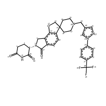 O=C1CC[C@H](N2Cc3c(ccc4c3OCC43CCN(Cc4cnn(-c5ccc(C(F)(F)F)cc5)c4)CC3)C2=O)C(=O)N1